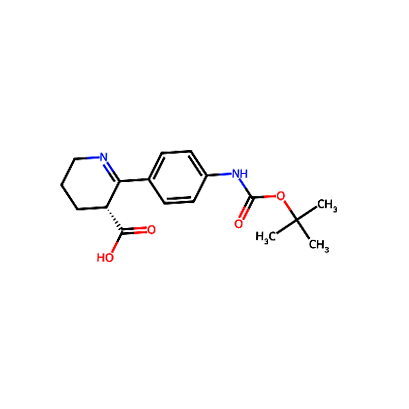 CC(C)(C)OC(=O)Nc1ccc(C2=NCCC[C@H]2C(=O)O)cc1